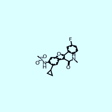 CNC(=O)c1c(-c2cccc(F)c2)oc2cc(NS(C)(=O)=O)c(C3CC3)cc12